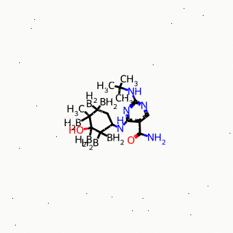 BC1(B)CC(Nc2nc(NC(C)(C)C)ncc2C(N)=O)C(B)(B)C(B)(O)C1(B)C